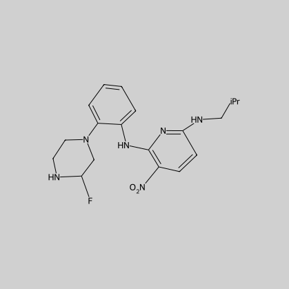 CC(C)CNc1ccc([N+](=O)[O-])c(Nc2ccccc2N2CCNC(F)C2)n1